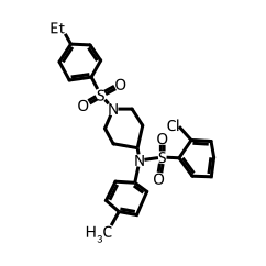 CCc1ccc(S(=O)(=O)N2CCC(N(c3ccc(C)cc3)S(=O)(=O)c3ccccc3Cl)CC2)cc1